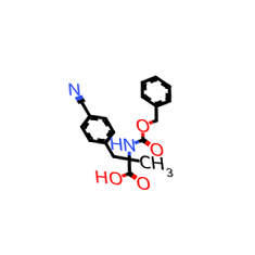 CC(Cc1ccc(C#N)cc1)(NC(=O)OCc1ccccc1)C(=O)O